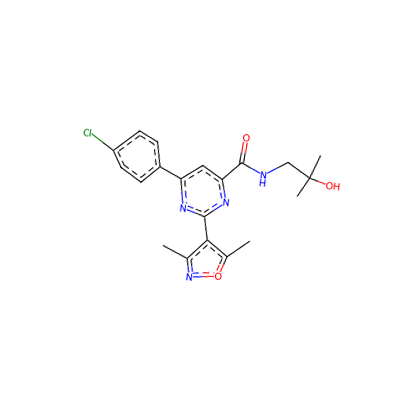 Cc1noc(C)c1-c1nc(C(=O)NCC(C)(C)O)cc(-c2ccc(Cl)cc2)n1